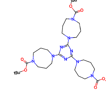 CC(C)(C)OC(=O)N1CCCN(c2nc(N3CCCN(C(=O)OC(C)(C)C)CCC3)nc(N3CCCN(C(=O)OC(C)(C)C)CCC3)n2)CCC1